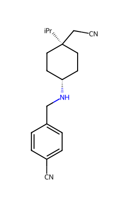 CC(C)[C@]1(CC#N)CC[C@H](NCc2ccc(C#N)cc2)CC1